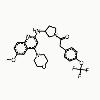 COc1ccc2nc(NC3CCN(C(=O)Cc4ccc(OC(F)(F)F)cc4)C3)cc(N3CCOCC3)c2c1